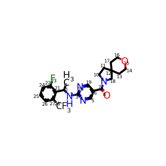 CC(Nc1ncc(C(=O)N2CCC3(CCOCC3)C2)cn1)c1c(F)cccc1C(F)(F)F